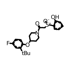 CC(C)(C)c1cc(F)ccc1OC1CCN(C(=O)C[S+]([O-])c2ccccc2O)CC1